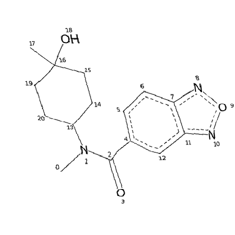 CN(C(=O)c1ccc2nonc2c1)C1CCC(C)(O)CC1